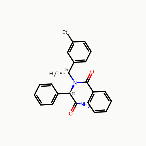 CCc1cccc([C@@H](C)N(C(=O)c2ccccc2)[C@@H](C(N)=O)c2ccccc2)c1